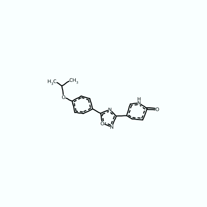 CC(C)Oc1ccc(-c2nc(-c3ccc(=O)[nH]c3)no2)cc1